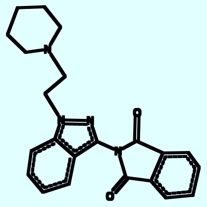 O=C1c2ccccc2C(=O)N1c1nn(CCN2CCCCC2)c2ccccc12